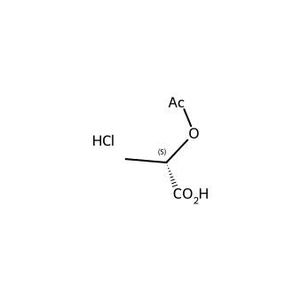 CC(=O)O[C@@H](C)C(=O)O.Cl